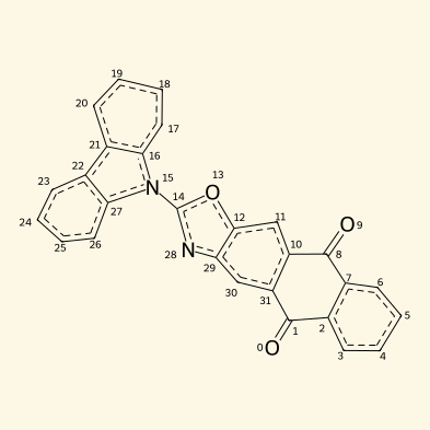 O=C1c2ccccc2C(=O)c2cc3oc(-n4c5ccccc5c5ccccc54)nc3cc21